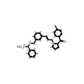 Cc1ccc(C(=O)c2cccn2CC=Cc2cccc(COC(C(=O)O)c3ccccc3)c2)cc1